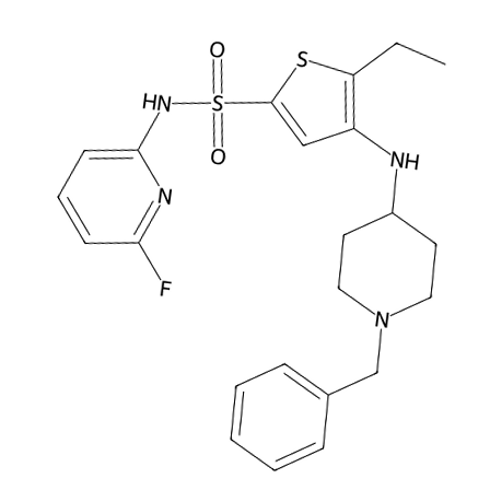 CCc1sc(S(=O)(=O)Nc2cccc(F)n2)cc1NC1CCN(Cc2ccccc2)CC1